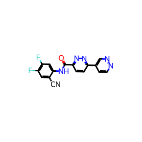 N#Cc1cc(F)c(F)cc1NC(=O)c1ccc(-c2ccnnc2)nn1